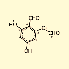 O=COc1cc(O)cc(O)c1C=O